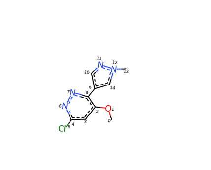 COc1cc(Cl)nnc1-c1cnn(C)c1